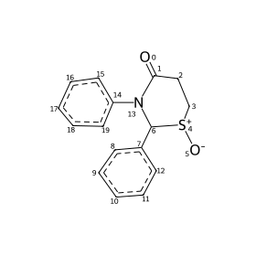 O=C1CC[S+]([O-])C(c2ccccc2)N1c1ccccc1